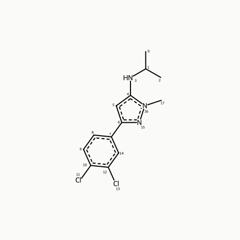 CC(C)Nc1cc(-c2ccc(Cl)c(Cl)c2)nn1C